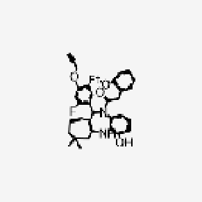 C#CCOc1ccc(C2C3=C(CC(C)(C)CC=C3)Nc3c(O)cccc3N2C(=O)Cc2ccccc2OCC)c(F)c1